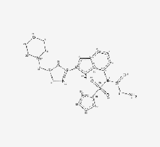 NCC(=O)N(c1cccc2cc(C3=NCC(CN4CCOCC4)S3)[nH]c12)S(=O)(=O)c1cccs1